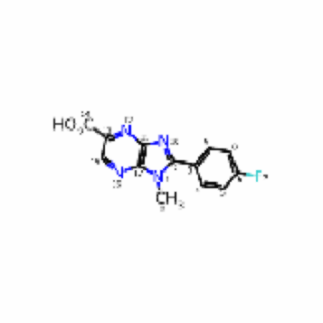 Cn1c(-c2ccc(F)cc2)nc2nc(C(=O)O)cnc21